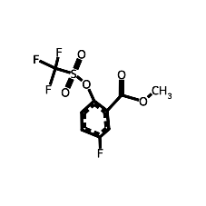 COC(=O)c1cc(F)ccc1OS(=O)(=O)C(F)(F)F